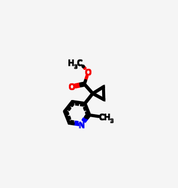 COC(=O)C1(c2cccnc2C)CC1